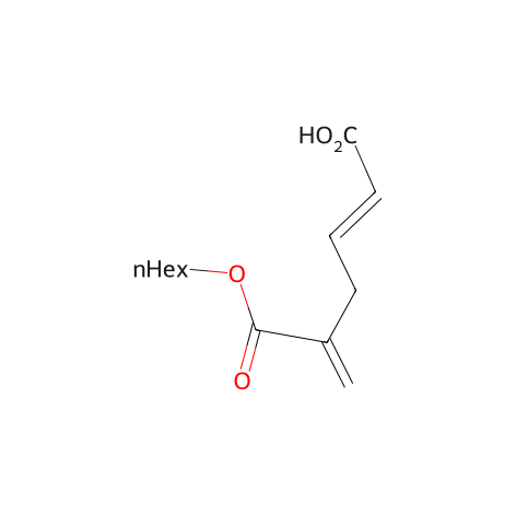 C=C(CC=CC(=O)O)C(=O)OCCCCCC